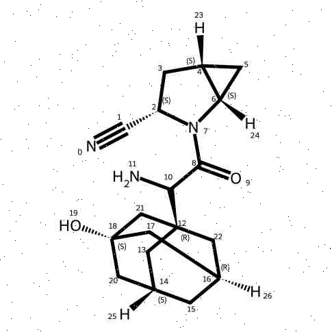 N#C[C@@H]1C[C@@H]2C[C@@H]2N1C(=O)C(N)[C@@]12C[C@@H]3C[C@@H](C[C@@](O)(C3)C1)C2